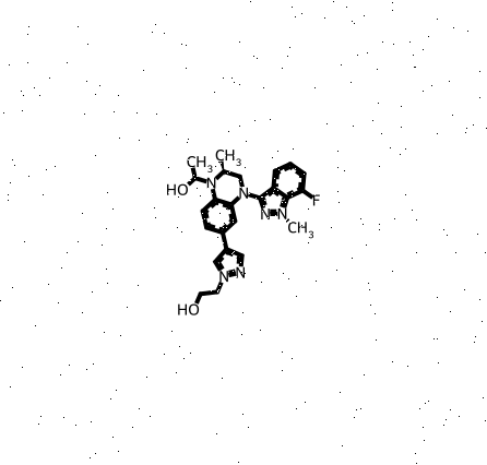 CC(O)N1c2ccc(-c3cnn(CCO)c3)cc2N(c2nn(C)c3c(F)cccc23)C[C@@H]1C